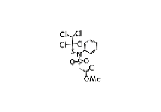 COC(=O)CS(=O)(=O)N(SC(Cl)(Cl)C(Cl)Cl)c1ccccc1